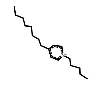 CCCCCCCCc1cc[n+](CCCCC)cc1